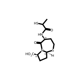 CC(S)C(=O)N[C@H]1CCS[C@H]2CC[C@@H](C(=O)O)N2C1=O